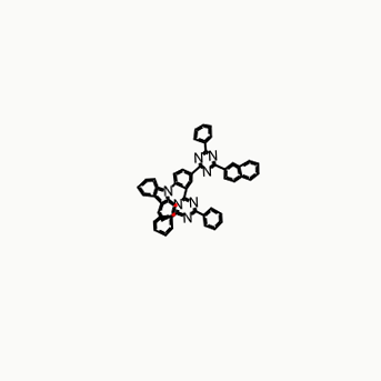 c1ccc(-c2nc(-c3ccc(-n4c5ccccc5c5ccccc54)c(-c4nc(-c5ccccc5)nc(-c5ccccc5)n4)c3)nc(-c3ccc4ccccc4c3)n2)cc1